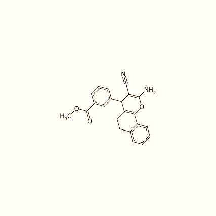 COC(=O)c1cccc(C2C(C#N)=C(N)OC3=C2CCc2ccccc23)c1